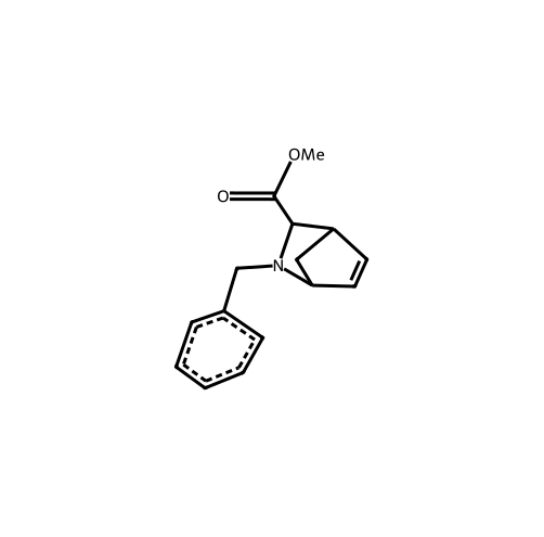 COC(=O)C1C2C=CC(C2)N1Cc1ccccc1